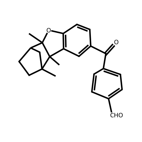 CC12CCC(C1)C1(C)Oc3ccc(C(=O)c4ccc(C=O)cc4)cc3C21C